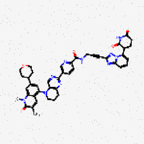 Cc1cc2c(N3CCCc4nc(-c5ccc(C(=O)NCC#Cc6nc7cccc(C8CCC(=O)NC8=O)n7n6)nc5)ncc43)cc(C3CCOCC3)cc2n(C)c1=O